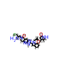 Cn1c(-c2cc3cccc(OCC4CC(=O)NC4(C)C)c3n2CC2CC2)nc2cc3c(nc21)CCN(C[C@H](N)CF)C3=O